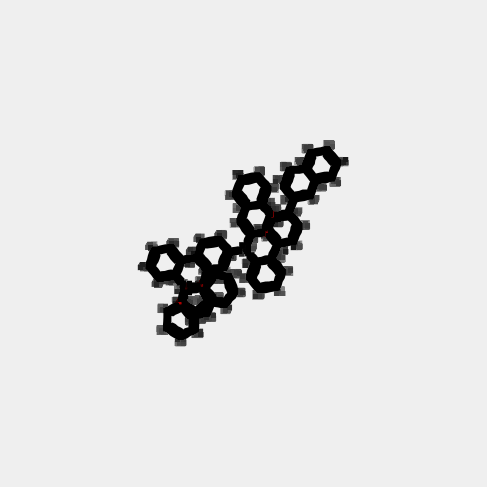 c1ccc(-c2cc(N(c3ccc4ccccc4c3)c3ccccc3-c3ccc(-c4ccc5ccccc5c4)cc3)ccc2-c2ccccc2-n2c3ccccc3c3ccccc32)cc1